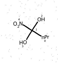 CCCC(O)(O)[N+](=O)[O-]